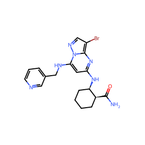 NC(=O)[C@H]1CCCC[C@H]1Nc1cc(NCc2cccnc2)n2ncc(Br)c2n1